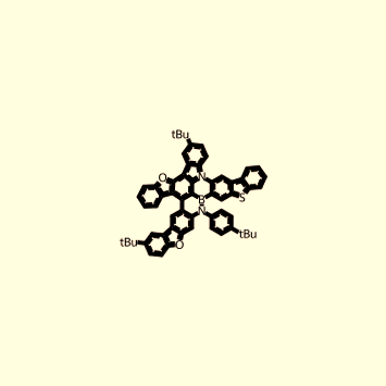 CC(C)(C)c1ccc(N2B3c4cc5sc6ccccc6c5cc4-n4c5ccc(C(C)(C)C)cc5c5c6oc7ccccc7c6c(c3c54)-c3cc4c(cc32)oc2ccc(C(C)(C)C)cc24)cc1